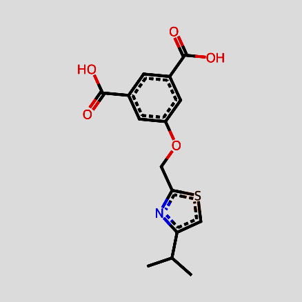 CC(C)c1csc(COc2cc(C(=O)O)cc(C(=O)O)c2)n1